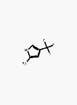 Cc1[c]c(C(F)(F)F)c[nH]1